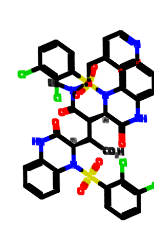 CCN(CCc1ccncc1)C(=O)C(C(C(=O)O)[C@@H]1C(=O)Nc2ccccc2N1S(=O)(=O)c1cccc(Cl)c1Cl)[C@@H]1C(=O)Nc2ccccc2N1S(=O)(=O)c1cccc(Cl)c1Cl